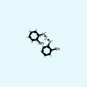 CC(C)c1ccccc1N=C=Nc1ccccc1C(C)C